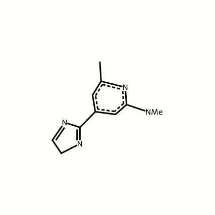 CNc1cc(C2=NCC=N2)cc(C)n1